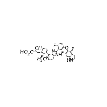 CC(Cc1cccc(C2c3nc(-c4cc(Oc5c(F)cc6[nH]ccc6c5F)ccc4F)[nH]c3CCN2C)c1F)C(=O)O